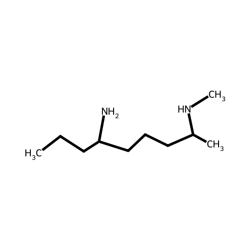 CCCC(N)CCCC(C)NC